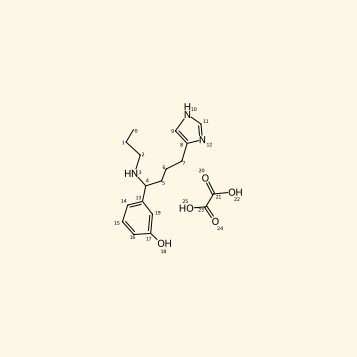 CCCNC(CCCc1c[nH]cn1)c1cccc(O)c1.O=C(O)C(=O)O